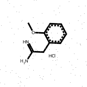 COc1ccccc1CC(=N)N.Cl